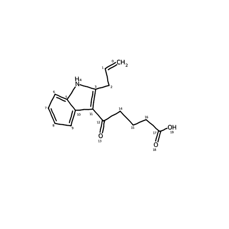 C=CCc1[nH]c2ccccc2c1C(=O)CCCC(=O)O